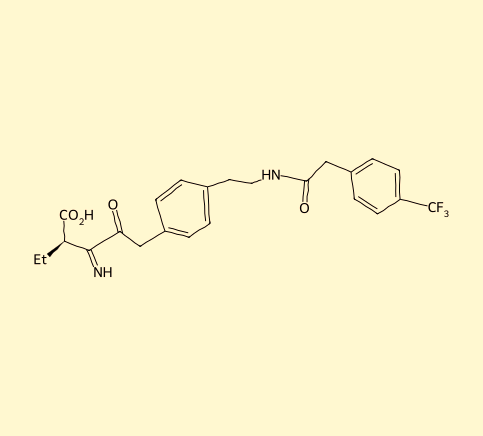 CC[C@H](C(=N)C(=O)Cc1ccc(CCNC(=O)Cc2ccc(C(F)(F)F)cc2)cc1)C(=O)O